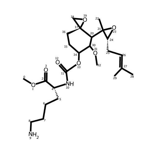 COC(=O)[C@@H](CCCCN)NC(=O)OC1CC[C@]2(CO2)C(C2(C)O[C@@H]2CC=C(C)C)C1OC